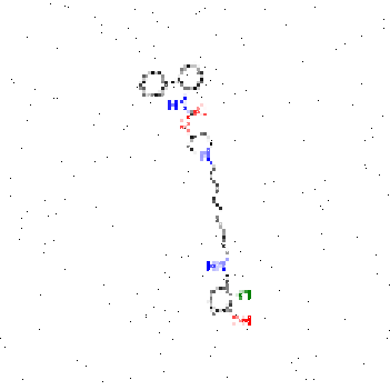 O=C(Nc1ccccc1-c1ccccc1)OC1CCN(CCCCCCCCCNCc2cccc(O)c2Cl)CC1